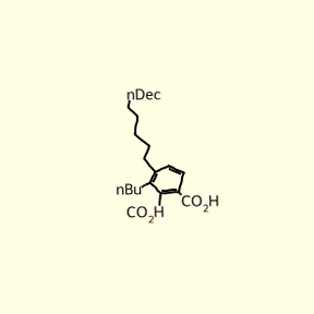 CCCCCCCCCCCCCCCc1ccc(C(=O)O)c(C(=O)O)c1CCCC